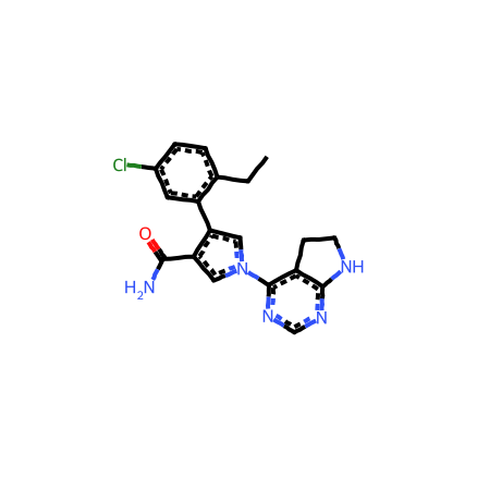 CCc1ccc(Cl)cc1-c1cn(-c2ncnc3c2CCN3)cc1C(N)=O